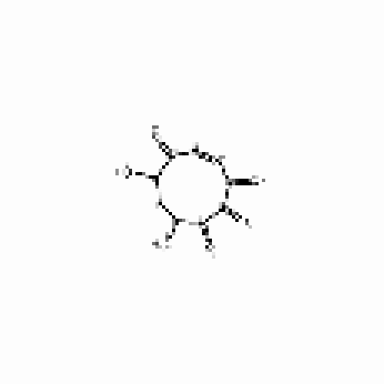 CC1CC(C)C(=O)C(=O)C(=O)C=CC1=O